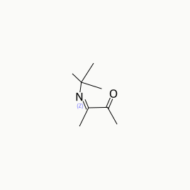 CC(=O)/C(C)=N\C(C)(C)C